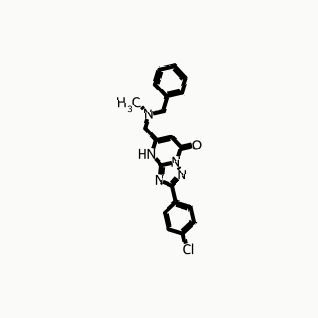 CN(Cc1ccccc1)Cc1cc(=O)n2nc(-c3ccc(Cl)cc3)nc2[nH]1